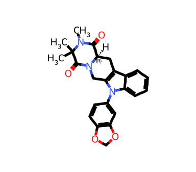 CN1C(=O)[C@H]2Cc3c(n(-c4ccc5c(c4)OCO5)c4ccccc34)CN2C(=O)C1(C)C